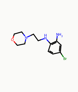 Nc1cc(Br)ccc1NCCN1CCOCC1